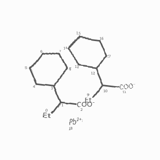 CCC(C(=O)[O-])C1CCCCC1.CCC(C(=O)[O-])C1CCCCC1.[Pb+2]